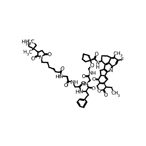 CCC1C(=O)OCC2=C1C=C1c3nc4cc(F)c(C)c5c4c(c3CC1C2=O)C(NC(=O)C1(OCNC(=O)CNC(=O)C(Cc2ccccc2)NC(=O)CNC(=O)CNC(=O)CCCCCN2C(=O)CC(C(C)(CC)CC)C2=O)CCCC1)CC5